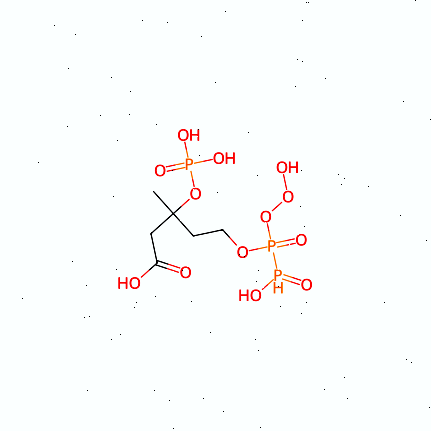 CC(CCOP(=O)(OOO)[PH](=O)O)(CC(=O)O)OP(=O)(O)O